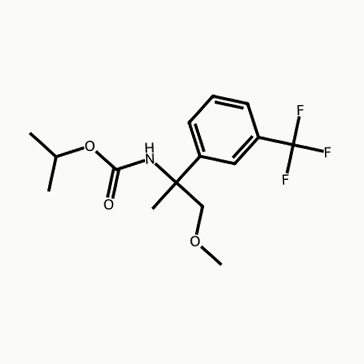 COCC(C)(NC(=O)OC(C)C)c1cccc(C(F)(F)F)c1